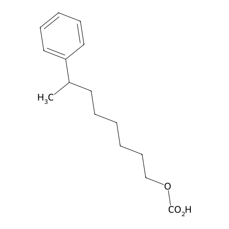 CC(CCCCCCOC(=O)O)c1ccccc1